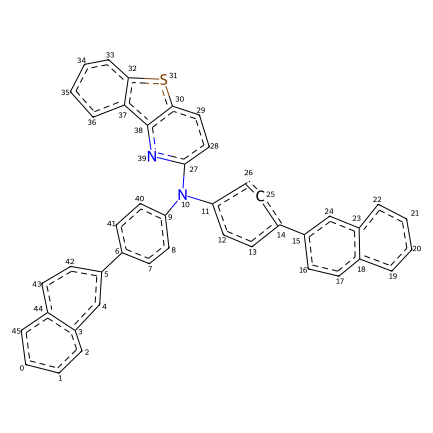 c1ccc2cc(-c3ccc(N(c4ccc(-c5ccc6ccccc6c5)cc4)c4ccc5sc6ccccc6c5n4)cc3)ccc2c1